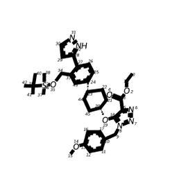 CCOC(=O)c1nnn(Cc2ccc(OC)cc2)c1O[C@H]1CC[C@@H](c2ccc(-c3ccn[nH]3)c(CO[Si](C)(C)C(C)(C)C)c2)CC1